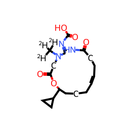 [2H]C([2H])([2H])N1CC(=O)OC(C2CC2)CCC/C=C\CCC(=O)N/C1=N\C(=O)O